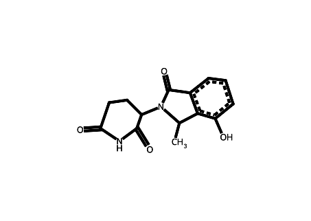 CC1c2c(O)cccc2C(=O)N1C1CCC(=O)NC1=O